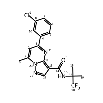 Cc1cc(-c2cccc(Cl)c2)nc2c(C(=O)NC(C)(C)C(F)(F)F)cnn12